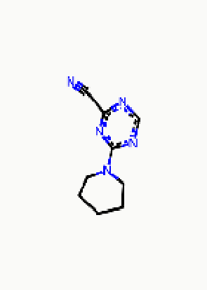 N#Cc1ncnc(N2CCCCC2)n1